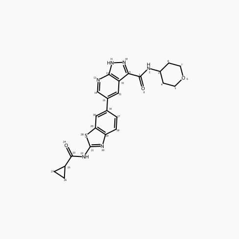 O=C(NC1CCOCC1)c1n[nH]c2ncc(-c3ccc4nc(NC(=O)C5CC5)sc4c3)cc12